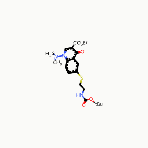 CCOC(=O)c1cn(N(C)C)c2ccc(SCCNC(=O)OC(C)(C)C)cc2c1=O